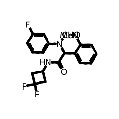 CNc1ccccc1C(C(=O)NC1CC(F)(F)C1)N(C=O)c1cccc(F)c1